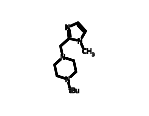 Cn1ccnc1CN1CCN(C(C)(C)C)CC1